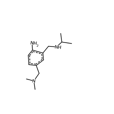 CC(C)NCc1cc(CN(C)C)ccc1N